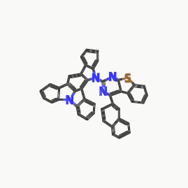 c1ccc2cc(-c3nc(-n4c5ccccc5c5cc6c7ccccc7n7c8ccccc8c(c54)c67)nc4sc5ccccc5c34)ccc2c1